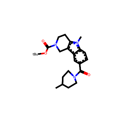 CC1CCN(C(=O)c2ccc3c(c2)c2c(n3C)CCN(C(=O)OC(C)(C)C)C2)CC1